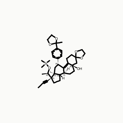 CC#C[C@]1([C@@H](C)O[Si](C)(C)C)CC[C@H]2[C@@H]3CC[C@@]4(O)CC5(CCC4=C3[C@@H](c3ccc(C4(C)OCCO4)cc3)C[C@@]21C)OCCO5